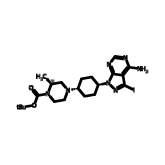 C[C@H]1CN([C@H]2CC[C@H](n3nc(I)c4c(N)ncnc43)CC2)CCN1C(=O)OC(C)(C)C